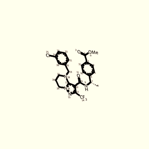 COC(=O)c1ccc([C@H](C)NC(=O)c2c(C(F)(F)F)nn3c2N(Cc2cccc(Cl)c2)CCC3)cc1